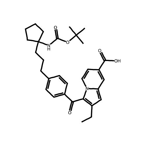 CCc1cc2cc(C(=O)O)ccn2c1C(=O)c1ccc(CCCC2(NC(=O)OC(C)(C)C)CCCC2)cc1